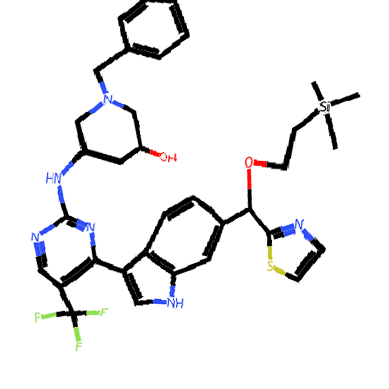 C[Si](C)(C)CCOC(c1ccc2c(-c3nc(NC4CC(O)CN(Cc5ccccc5)C4)ncc3C(F)(F)F)c[nH]c2c1)c1nccs1